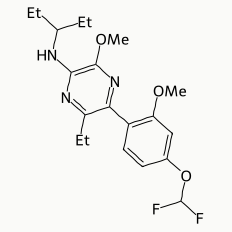 CCc1nc(NC(CC)CC)c(OC)nc1-c1ccc(OC(F)F)cc1OC